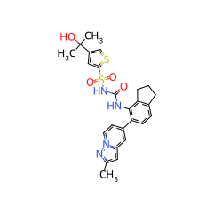 Cc1cc2cc(-c3ccc4c(c3NC(=O)NS(=O)(=O)c3cc(C(C)(C)O)cs3)CCC4)ccn2n1